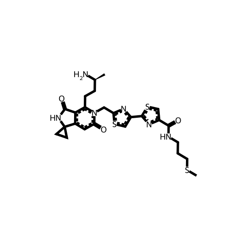 CSCCCNC(=O)c1csc(-c2csc(Cn3c(CC[C@H](C)N)c4c(cc3=O)C3(CC3)NC4=O)n2)n1